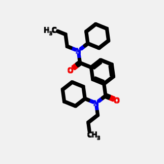 CCCN(C(=O)c1cccc(C(=O)N(CCC)C2CCCCC2)c1)C1CCCCC1